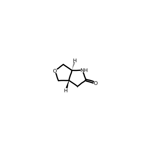 O=C1[CH][C@@H]2COC[C@H]2N1